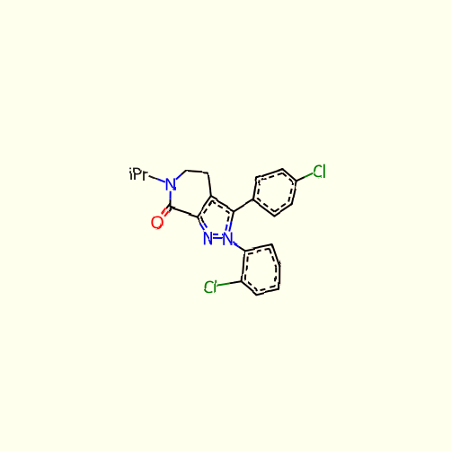 CC(C)N1CCc2c(nn(-c3ccccc3Cl)c2-c2ccc(Cl)cc2)C1=O